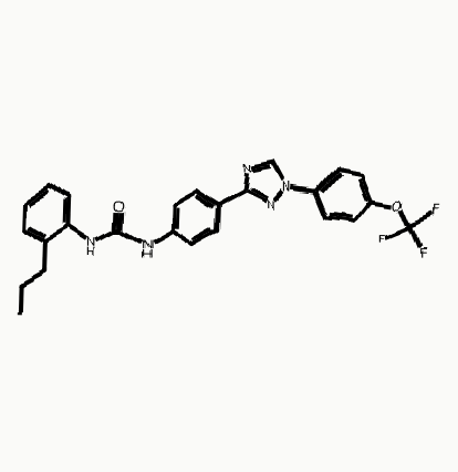 CCCc1ccccc1NC(=O)Nc1ccc(-c2ncn(-c3ccc(OC(F)(F)F)cc3)n2)cc1